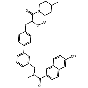 CCOC(Cc1ccc(-c2cccc(CN(C)C(=O)c3ccc4cc(O)ccc4c3)c2)cc1)C(=O)N1CCC(C)CC1